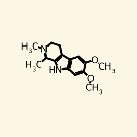 COc1cc2[nH]c3c(c2cc1OC)CCN(C)C3C